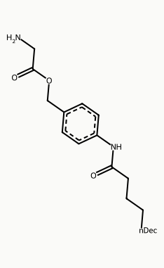 CCCCCCCCCCCCCC(=O)Nc1ccc(COC(=O)CN)cc1